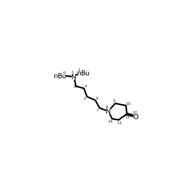 CCCCN(CCCC)CCCCCN1CCC(=O)CC1